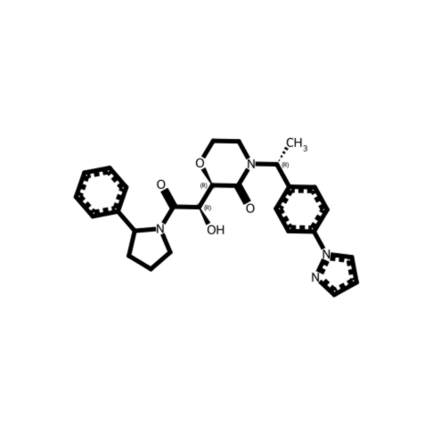 C[C@H](c1ccc(-n2cccn2)cc1)N1CCO[C@H]([C@@H](O)C(=O)N2CCCC2c2ccccc2)C1=O